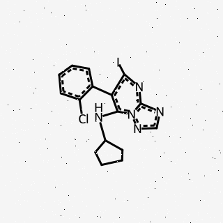 Clc1ccccc1-c1c(I)nc2ncnn2c1NC1CCCC1